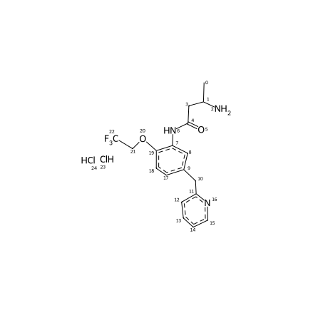 CC(N)CC(=O)Nc1cc(Cc2ccccn2)ccc1OCC(F)(F)F.Cl.Cl